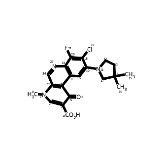 Cn1cc(C(=O)O)c(=O)c2c3cc(N4CCC(C)(C)C4)c(Cl)c(F)c3ncc21